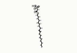 CCCCCCCCC=CCCCCCCCCOC(=O)CS(=O)(=O)O